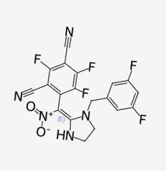 N#Cc1c(F)c(F)c(/C(=C2/NCCN2Cc2cc(F)cc(F)c2)[N+](=O)[O-])c(C#N)c1F